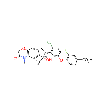 C[C@@H](c1cc(Oc2ccc(C(=O)O)cc2F)ccc1Cl)[C@](O)(c1ccc2c(c1)N(C)C(=O)CO2)C(F)(F)F